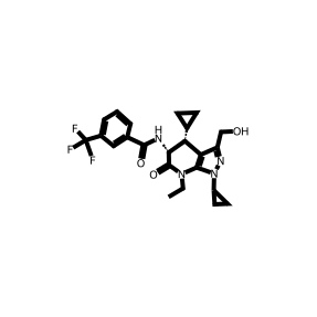 CCN1C(=O)[C@H](NC(=O)c2cccc(C(F)(F)F)c2)[C@H](C2CC2)c2c(CO)nn(C3CC3)c21